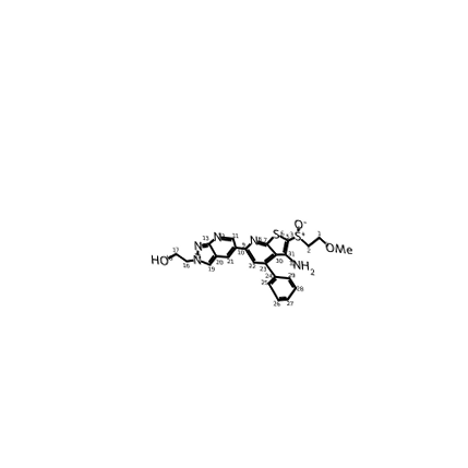 COCC[S+]([O-])c1sc2nc(-c3cnc4nn(CCO)cc4c3)cc(-c3ccccc3)c2c1N